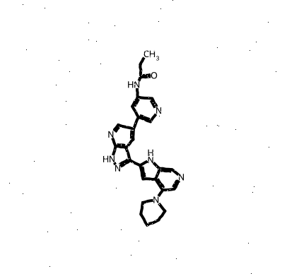 CCC(=O)Nc1cncc(-c2cnc3[nH]nc(-c4cc5c(N6CCCCC6)cncc5[nH]4)c3c2)c1